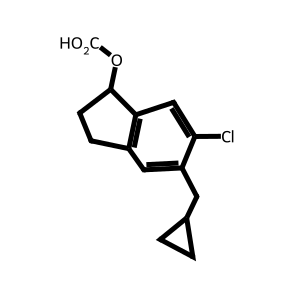 O=C(O)OC1CCc2cc(CC3CC3)c(Cl)cc21